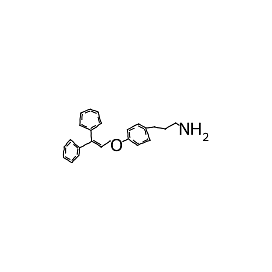 NCCCc1ccc(OCC=C(c2ccccc2)c2ccccc2)cc1